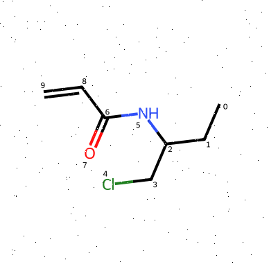 [CH2]CC(CCl)NC(=O)C=C